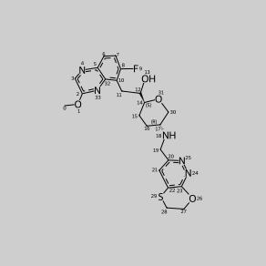 COc1cnc2ccc(F)c(CC(O)[C@@H]3CC[C@@H](NCc4cc5c(nn4)OCCS5)CO3)c2n1